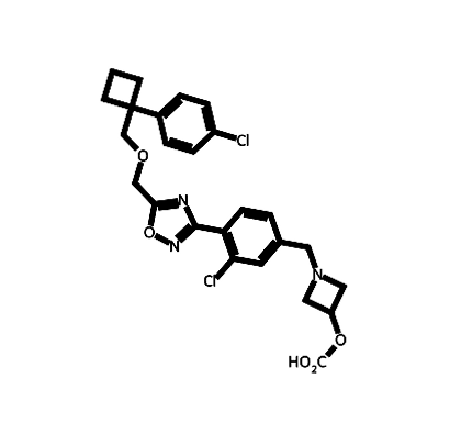 O=C(O)OC1CN(Cc2ccc(-c3noc(COCC4(c5ccc(Cl)cc5)CCC4)n3)c(Cl)c2)C1